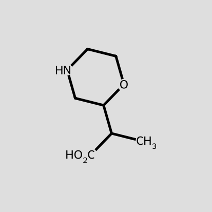 CC(C(=O)O)C1CNCCO1